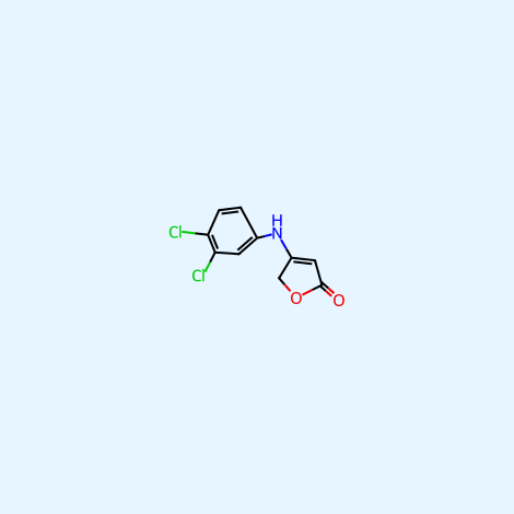 O=C1C=C(Nc2ccc(Cl)c(Cl)c2)CO1